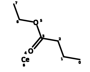 CCCC(=O)OCC.[Ce]